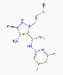 CCOCCN1N[C@H](CC)C(N)C1C(N)NC1=CC(C)CC(C)=N1